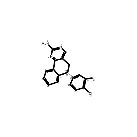 CNc1ncc2c(n1)-c1ccccc1[C@@H](c1ccc(Cl)c(Cl)c1)C2